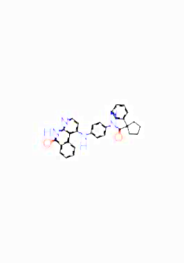 O=C(Nc1ccc(Nc2ccnc3[nH]c(=O)c4ccccc4c23)cc1)C1(c2ccccc2)CCCC1